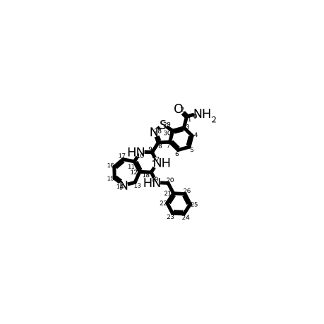 NC(=O)c1cccc2c(C3NC4=C(CN=CC=C4)C(NCc4ccccc4)N3)nsc12